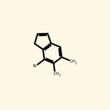 Cc1cc2c(c(Br)c1C)CC=C2